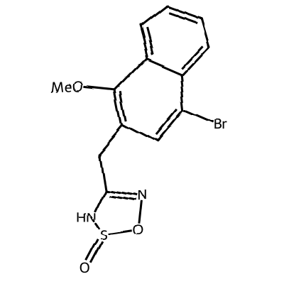 COc1c(CC2=NOS(=O)N2)cc(Br)c2ccccc12